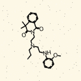 CCCN(CCNc1ccccc1OC)CCN1C(=O)c2ccccc2C(C)(C)C1=O